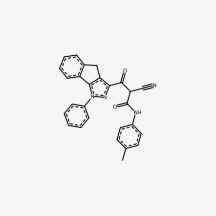 Cc1ccc(NC(=O)C(C#N)C(=O)c2nn(-c3ccccc3)c3c2Cc2ccccc2-3)cc1